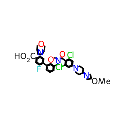 COC1CN(C2CCN(c3cc(Cl)c(C(=O)N4COc5c(cccc5-c5cc(N6C7CCC6COC7)c(C(=O)O)cc5F)C4)c(Cl)c3)CC2)C1